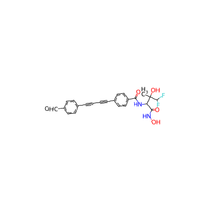 CC(O)(C(F)F)C(NC(=O)c1ccc(C#CC#Cc2ccc(C=O)cc2)cc1)C(=O)NO